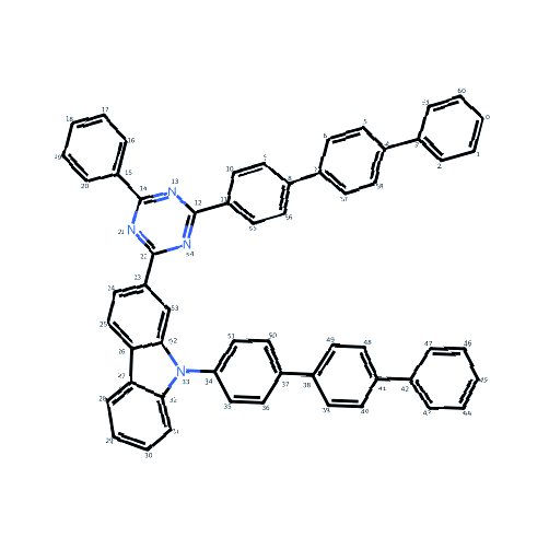 c1ccc(-c2ccc(-c3ccc(-c4nc(-c5ccccc5)nc(-c5ccc6c7ccccc7n(-c7ccc(-c8ccc(-c9ccccc9)cc8)cc7)c6c5)n4)cc3)cc2)cc1